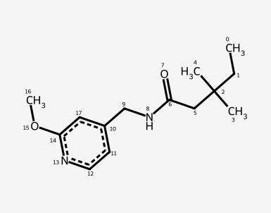 CCC(C)(C)CC(=O)NCc1ccnc(OC)c1